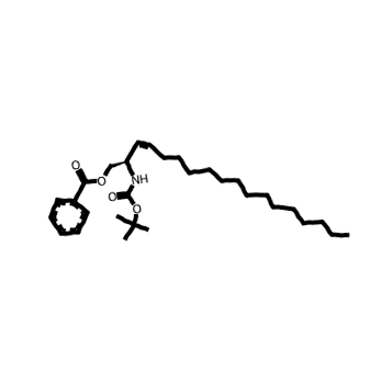 CCCCCCCCCCCCCC/C=C\[C@H](COC(=O)c1ccccc1)NC(=O)OC(C)(C)C